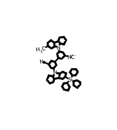 [C-]#[N+]c1cc(-c2cc(C#N)cc(-n3c4ccccc4c4cc([Si](c5ccccc5)(c5ccccc5)c5ccccc5)ccc43)c2)cc(-n2c3ccccc3c3ccc(C)cc32)c1